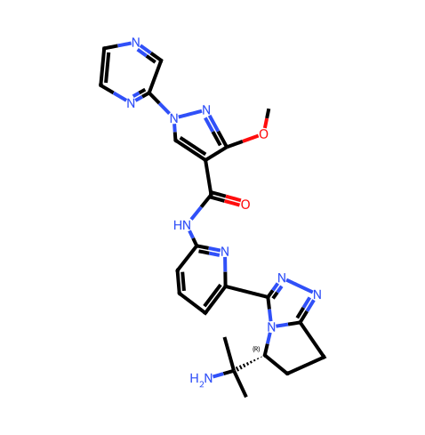 COc1nn(-c2cnccn2)cc1C(=O)Nc1cccc(-c2nnc3n2[C@@H](C(C)(C)N)CC3)n1